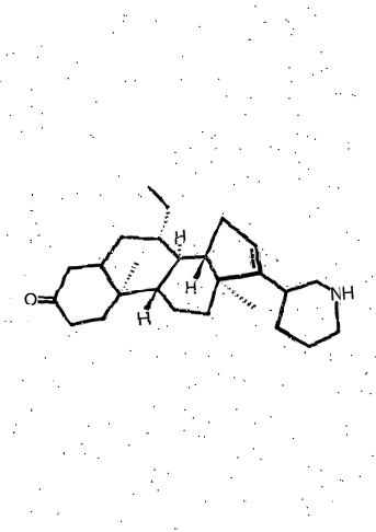 CC[C@H]1CC2CC(=O)CC[C@]2(C)[C@H]2CC[C@]3(C)C(C4CCCNC4)=CC[C@H]3[C@H]12